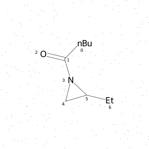 CCCCC(=O)N1CC1CC